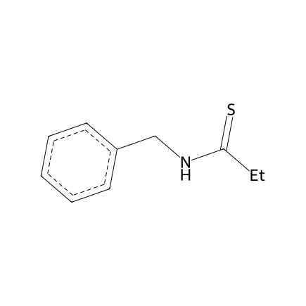 CCC(=S)NCc1ccccc1